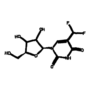 O=c1[nH]c(=O)n([C@H]2O[C@@H](CO)C(O)C2O)cc1C(F)F